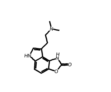 CN(C)CCc1c[nH]c2ccc3oc(=O)[nH]c3c12